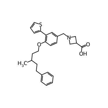 CC(CCOc1ccc(CN2CC(C(=O)O)C2)cc1-c1cccs1)CCc1ccccc1